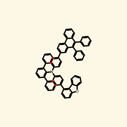 c1ccc(-c2cccc(-c3ccccc3)c2N(c2ccc(-c3ccc4c(c3)c(-c3ccccc3)c(-c3ccccc3)c3ccccc34)cc2)c2ccc(-c3cccc4oc5ccccc5c34)cc2)cc1